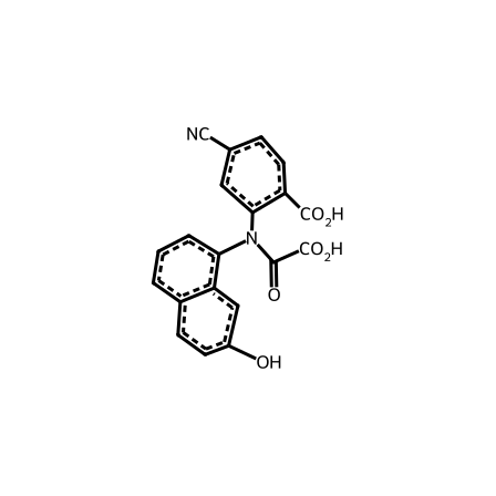 N#Cc1ccc(C(=O)O)c(N(C(=O)C(=O)O)c2cccc3ccc(O)cc23)c1